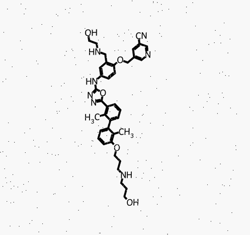 Cc1c(OCCCNCCCO)cccc1-c1cccc(-c2nnc(Nc3ccc(OCc4cncc(C#N)c4)c(CNCCO)c3)o2)c1C